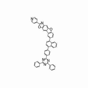 c1ccc(-c2nc(-c3ccccc3)nc(-c3ccc(-c4ccc(-c5ccc6oc7cc8nc(-c9ccncc9)oc8cc7c6c5)c5ccccc45)cc3)n2)cc1